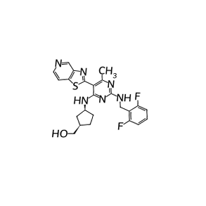 Cc1nc(NCc2c(F)cccc2F)nc(N[C@H]2CC[C@@H](CO)C2)c1-c1nc2cnccc2s1